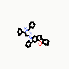 c1ccc(-c2cc(-n3c4ccccc4c4cc5c(ccc6c7ccccc7oc56)cc43)nc(-c3ccccc3)n2)cc1